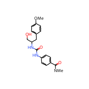 CNC(=O)c1ccc(NC(=O)NC(CO)Cc2ccc(OC)cc2)cc1